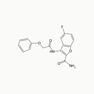 NC(=O)c1oc2ccc(F)cc2c1NC(=O)COc1ccccc1